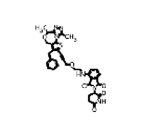 Cc1nnc2n1-c1sc(C#CCOCCNc3cccc4c3C(=O)N(C3CCC(=O)NC3=O)C4=O)c(Cc3ccccc3)c1CO[C@H]2C